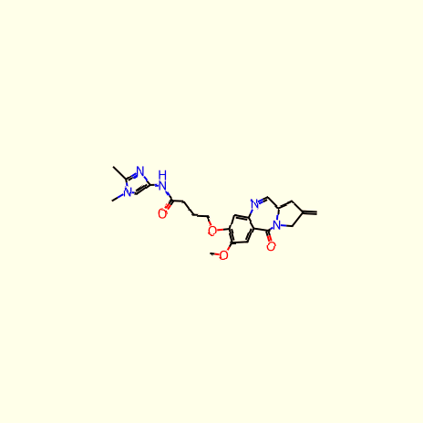 C=C1CC2C=Nc3cc(OCCCC(=O)Nc4cn(C)c(C)n4)c(OC)cc3C(=O)N2C1